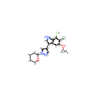 COc1cc2c(-c3cnn(C4CCCCO4)c3)c[nH]c2c(F)c1Cl